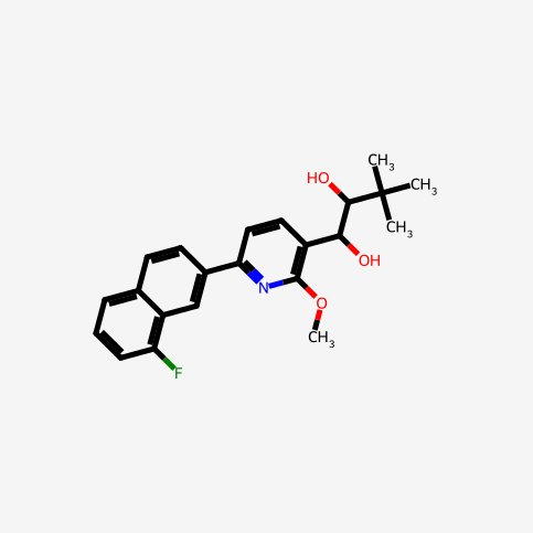 COc1nc(-c2ccc3cccc(F)c3c2)ccc1C(O)C(O)C(C)(C)C